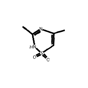 CC1=CS(=O)(=O)NC(C)=N1